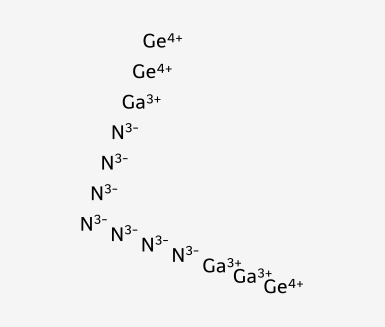 [Ga+3].[Ga+3].[Ga+3].[Ge+4].[Ge+4].[Ge+4].[N-3].[N-3].[N-3].[N-3].[N-3].[N-3].[N-3]